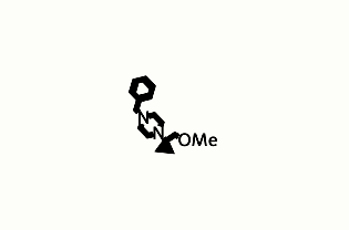 COCC1(N2CCN(Cc3ccccc3)CC2)CC1